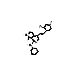 O=c1[nH]ccc2c(/C=C/c3ccc(F)cc3F)cnc(Nc3ccccc3)c12